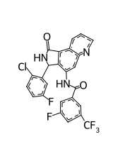 O=C(Nc1cc2ncccc2c2c1C(c1cc(F)ccc1Cl)NC2=O)c1cc(F)cc(C(F)(F)F)c1